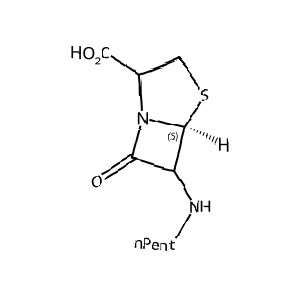 CCCCCNC1C(=O)N2C(C(=O)O)CS[C@@H]12